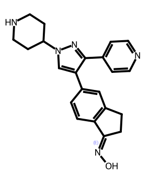 O/N=C1\CCc2cc(-c3cn(C4CCNCC4)nc3-c3ccncc3)ccc21